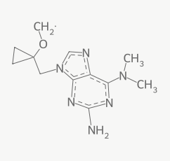 [CH2]OC1(Cn2cnc3c(N(C)C)nc(N)nc32)CC1